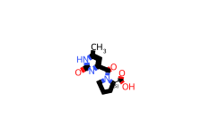 Cc1cc(C(=O)N2CCC[C@H]2C(=O)O)nc(=O)[nH]1